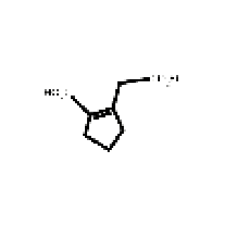 CCOC(=O)CC1=C(C(=O)O)CCC1